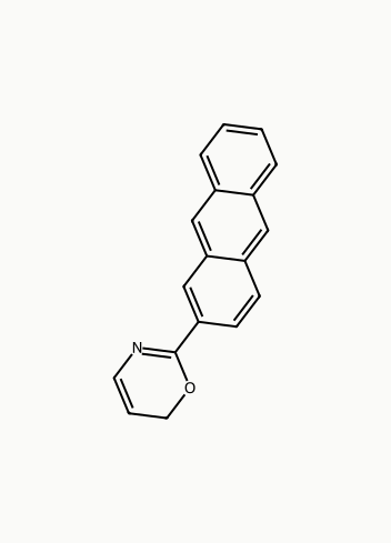 C1=CN=C(c2ccc3cc4ccccc4cc3c2)OC1